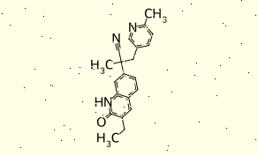 CCc1cc2ccc(C(C)(C#N)Cc3ccc(C)nc3)cc2[nH]c1=O